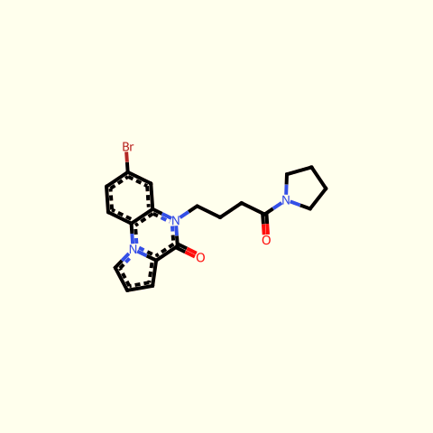 O=C(CCCn1c(=O)c2cccn2c2ccc(Br)cc21)N1CCCC1